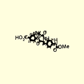 COC(=O)Nc1ccc(CC(NC(=O)OC(C)(C)C)C(=O)Nc2ccc(C(=O)O)cc2)cc1